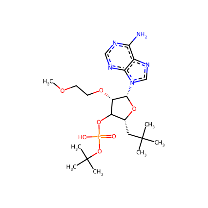 COCCO[C@H]1C(OP(=O)(O)OC(C)(C)C)[C@@H](CC(C)(C)C)O[C@H]1n1cnc2c(N)ncnc21